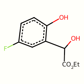 CCOC(=O)C(O)c1cc(F)ccc1O